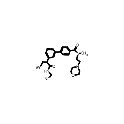 CC(C)CC(C(=O)NCC#N)c1cccc(-c2ccc(C(=O)N(C)CCN3CCOCC3)cc2)c1